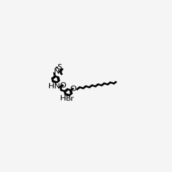 Br.CCCCCCCCCCCCCCOc1cccc(CC(=O)Nc2ccc(CN3CSC=C3C)cc2)c1